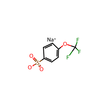 O=S(=O)([O-])c1ccc(OC(F)(F)F)cc1.[Na+]